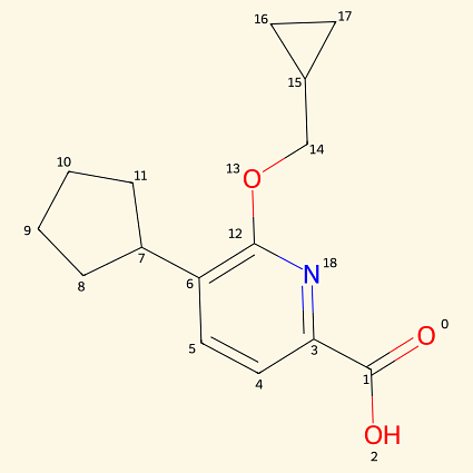 O=C(O)c1ccc(C2CCCC2)c(OCC2CC2)n1